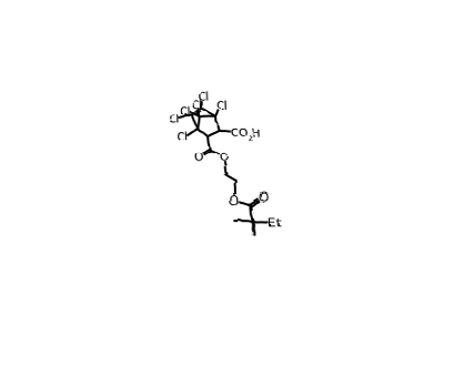 CCC(C)(C)C(=O)OCCOC(=O)C1C(C(=O)O)C2(Cl)C(Cl)=C(Cl)C1(Cl)C2(Cl)Cl